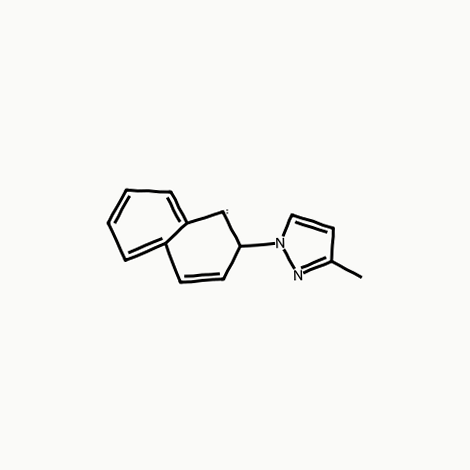 Cc1ccn(C2[C]c3ccccc3C=C2)n1